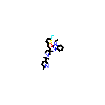 CCn1c(=O)n(CC2(CCc3ccc(F)s3)CCN(C(C)(C)c3ccc(C)nc3)C2)c2ccccc21